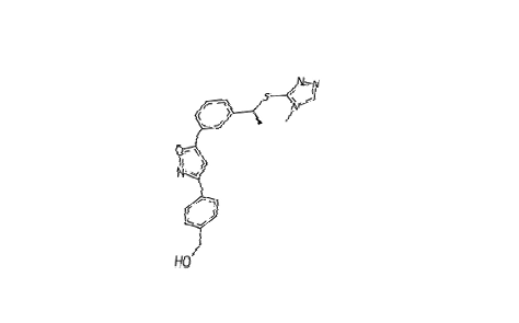 C[C@H](Sc1nncn1C)c1cccc(-c2cc(-c3ccc(CO)cc3)no2)c1